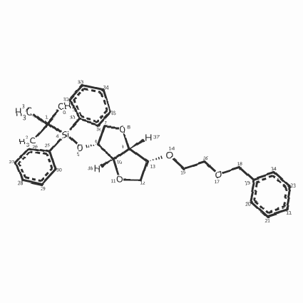 CC(C)(C)[Si](O[C@@H]1CO[C@H]2[C@@H]1OC[C@H]2OCCOCc1ccccc1)(c1ccccc1)c1ccccc1